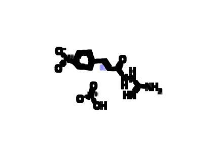 N=C(N)NNC(=O)/C=C/c1ccc([N+](=O)[O-])cc1.O=[N+]([O-])O